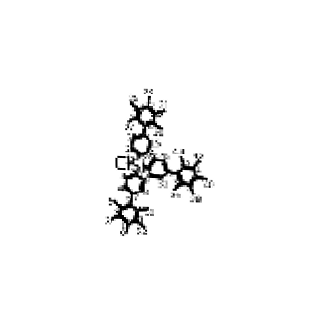 Cc1c(C)c(C)c(-c2ccc([Si](Cl)(c3ccc(-c4c(C)c(C)c(C)c(C)c4C)cc3)c3ccc(-c4c(C)c(C)c(C)c(C)c4C)cc3)cc2)c(C)c1C